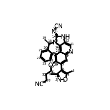 Cc1noc(C)c1-c1cc2ncc3[nH]c(=NC#N)n([C@H](C)c4ccccc4)c3c2cc1OCCCC#N